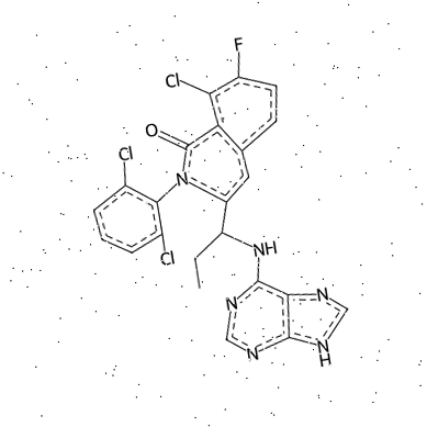 CCC(Nc1ncnc2[nH]cnc12)c1cc2ccc(F)c(Cl)c2c(=O)n1-c1c(Cl)cccc1Cl